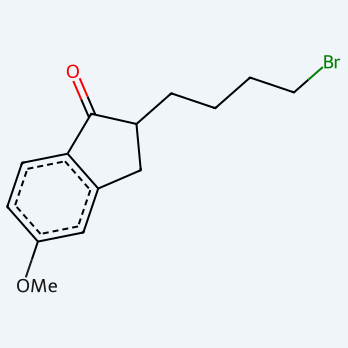 COc1ccc2c(c1)CC(CCCCBr)C2=O